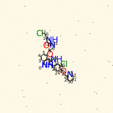 CNc1cccc(OCCN(C)C(=O)NCCCl)c1C(=N)Nc1ccc(OCc2ccccn2)c(Cl)c1